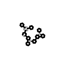 c1ccc(-c2nc(-c3ccccc3)nc(-c3ccnc(-c4ccc5c(c4)c4ccccc4n5-c4cccc(-c5ccc6c(c5)c5ccccc5n6-c5ccccc5)c4)c3)n2)cc1